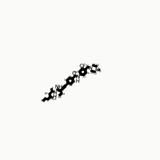 C=C/C=C(/Cl)[C@H](C)C(C)N/C(N)=C(/C#Cc1ccc(C(=O)Nc2ccc(CN3CCN(C)CC3)c(C(F)(F)F)c2)cc1)C=C